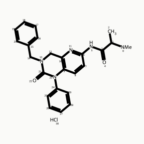 CNC(C)C(=O)Nc1ccc2c(n1)CN(Cc1ccccc1)C(=O)N2c1ccccc1.Cl